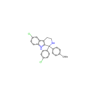 COc1ccc(C2(c3ccc(Cl)cc3)NCCc3c2[nH]c2ccc(Cl)cc32)cc1